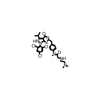 CC(C)c1[nH]n(-c2c(Cl)cc(Cl)cc2Cl)c2nc(Cc3ccc(N(C)C(=O)CNCCN(C)C)cc3)nc(=O)c1-2